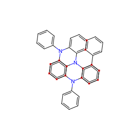 c1ccc(-c2ccccc2N(c2ccccc2N(c2ccccc2)c2ccccc2)c2ccccc2N(c2ccccc2)c2ccccc2)cc1